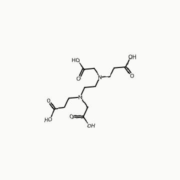 O=C(O)CCN(CCN(CCC(=O)O)CC(=O)O)CC(=O)O